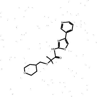 CC(C)(SCC1CCOCC1)C(=O)Nc1nc(-c2cccnc2)cs1